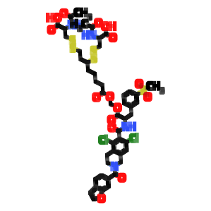 CC(=O)NC(CSSCCC(CCCCC(=O)OCOC(=O)C(Cc1cccc(S(C)(=O)=O)c1)NC(=O)c1c(Cl)cc2c(c1Cl)CCN(C(=O)c1ccc3ccoc3c1)C2)SSCC(NC(C)=O)C(=O)O)C(=O)O